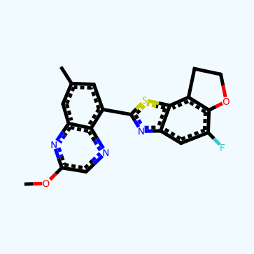 COc1cnc2c(-c3nc4cc(F)c5c(c4s3)CCO5)cc(C)cc2n1